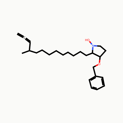 C=C=CC(C)CCCCCCCCCC1C(OCc2ccccc2)CCN1O